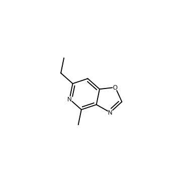 CCc1cc2ocnc2c(C)n1